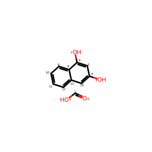 O=CO.Oc1cc(O)c2ccccc2c1